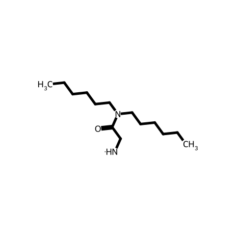 CCCCCCN(CCCCCC)C(=O)C[NH]